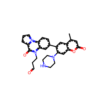 Cc1cc(=O)oc2cc(N3CCNCC3)c(-c3ccc4c(c3)n(CCC=O)c(=O)c3cccn34)cc12